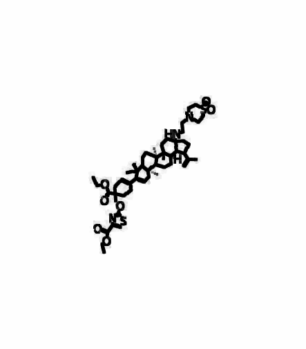 C=C(C)C1CC[C@]2(NCCN3CCS(=O)(=O)CC3)CC[C@]3(C)[C@H](CCC4[C@@]5(C)CC=C(C6=CCC(COc7nc(C(=O)OCC)cs7)(C(=O)OCC)CC6)C(C)(C)C5CC[C@]43C)C12